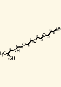 CC(S)CNCCOCCOCCOCCCC(C)(C)C